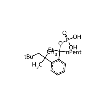 CCCCCC(CC)(OP(=O)(O)O)c1ccccc1C(C)(C)CC(C)(C)C